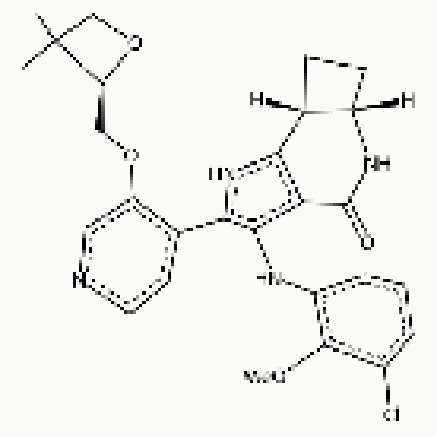 COc1c(Cl)cccc1Nc1c(-c2ccncc2OC[C@@H]2OCC2(C)C)[nH]c2c1C(=O)N[C@H]1CC[C@@H]21